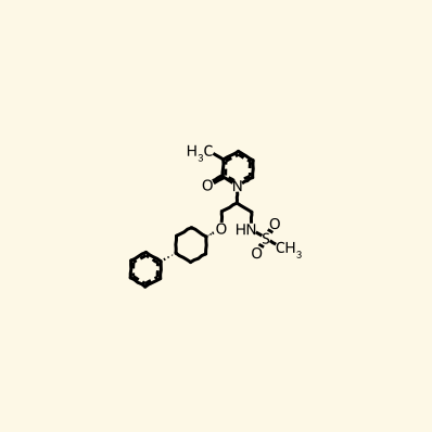 Cc1cccn(C(CNS(C)(=O)=O)CO[C@H]2CC[C@@H](c3ccccc3)CC2)c1=O